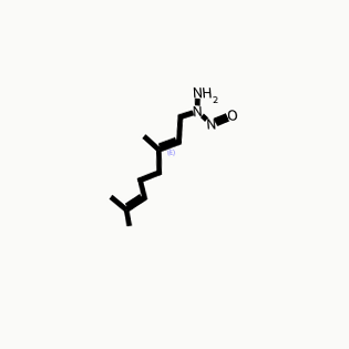 CC(C)=CCC/C(C)=C/CN(N)N=O